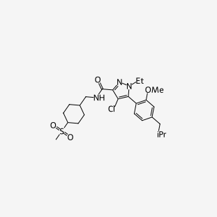 CCn1nc(C(=O)NCC2CCC(S(C)(=O)=O)CC2)c(Cl)c1-c1ccc(CC(C)C)cc1OC